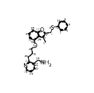 Cc1c(CSc2ccccc2)oc2cccc(OCCCc3ncccc3CN)c12